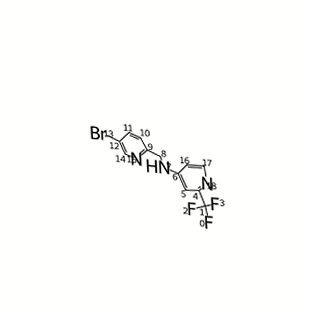 FC(F)(F)c1cc(NCc2ccc(Br)cn2)ccn1